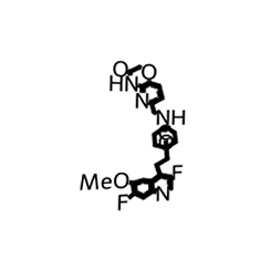 COc1cc2c(CCC34CCC(NCc5ccc6c(n5)NC(=O)CO6)(CC3)CO4)c(F)cnc2cc1F